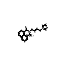 O=C1c2cccc3cccc(c23)C(=O)N1CC=CCn1ccnc1